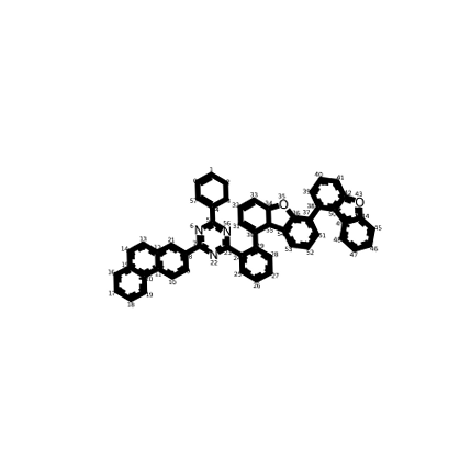 C1=CCCC(c2nc(-c3ccc4c(ccc5ccccc54)c3)nc(-c3ccccc3C3=CC=CC4Oc5c(-c6cccc7oc8ccccc8c67)cccc5C34)n2)=C1